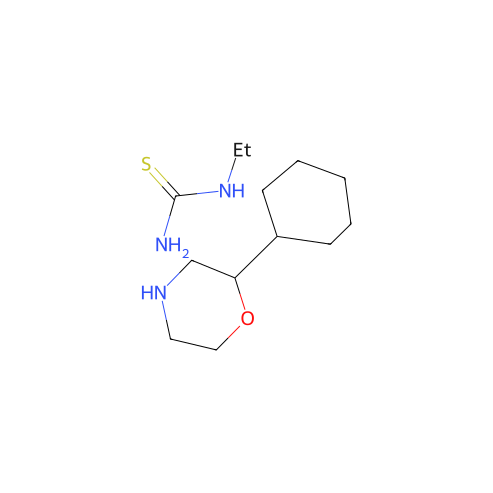 C1CCC(C2CNCCO2)CC1.CCNC(N)=S